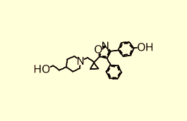 OCCC1CCN(CC2(c3onc(-c4ccc(O)cc4)c3-c3ccccc3)CC2)CC1